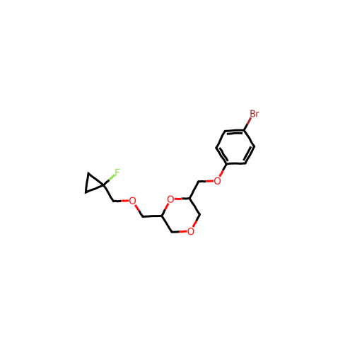 FC1(COCC2COCC(COc3ccc(Br)cc3)O2)CC1